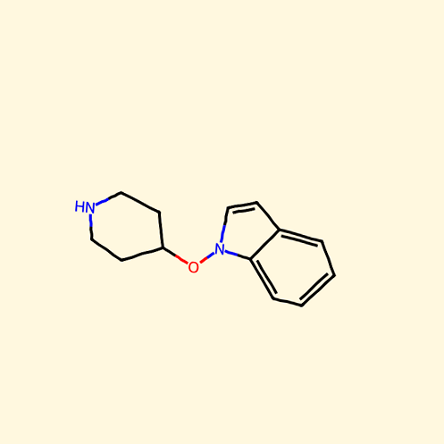 c1ccc2c(c1)ccn2OC1CCNCC1